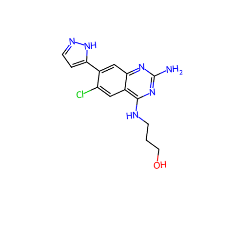 Nc1nc(NCCCO)c2cc(Cl)c(-c3ccn[nH]3)cc2n1